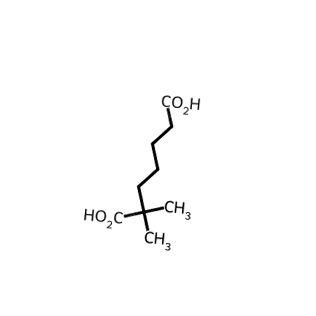 CC(C)(CCCCC(=O)O)C(=O)O